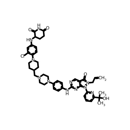 C=CCn1c(=O)c2cnc(Nc3ccc(N4CCN(CC5CCN(c6ccc(NC7CCC(=O)NC7=O)cc6Cl)CC5)CC4)cc3)nc2n1-c1cccc(C(C)(C)O)n1